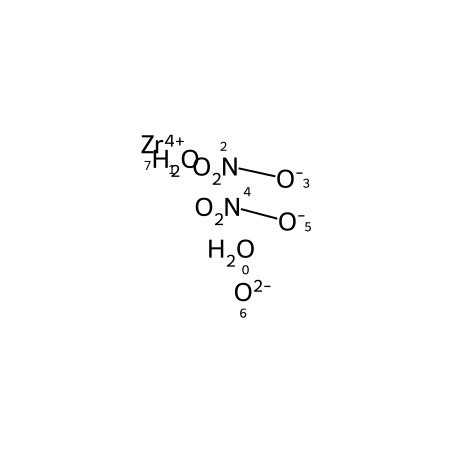 O.O.O=[N+]([O-])[O-].O=[N+]([O-])[O-].[O-2].[Zr+4]